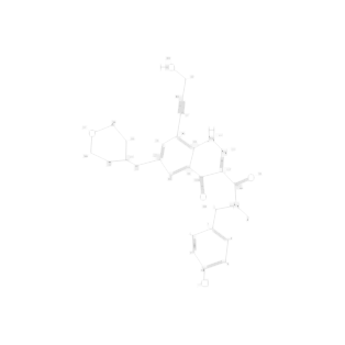 CN(Cc1ccc(Cl)cc1)C(=O)c1n[nH]c2c(C#CCO)cc(CC3CCOCC3)cc2c1=O